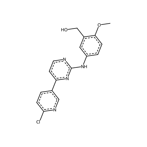 COc1ccc(Nc2nccc(-c3ccc(Cl)nc3)n2)cc1CO